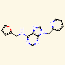 c1ccc(Cn2cnc3c(NCc4ccco4)ncnc32)nc1